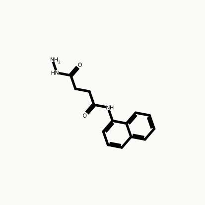 NNC(=O)CCC(=O)Nc1cccc2ccccc12